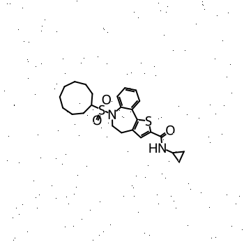 O=C(NC1CC1)c1cc2c(s1)-c1ccccc1N(S(=O)(=O)C1CCCCCCCC1)CC2